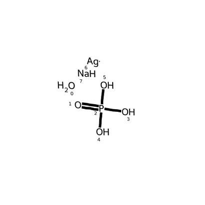 O.O=P(O)(O)O.[Ag].[NaH]